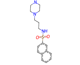 O=S(=O)(NCCCN1CCNCC1)c1ccc2ccccc2c1